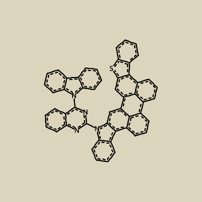 c1ccc2c(-n3c4ccccc4c4ccccc43)nc(-n3c4ccccc4c4c5cccc6c7cccc8c9c(cc(c(cc43)c65)c78)sc3ccccc39)nc2c1